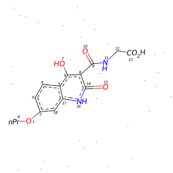 CCCOc1ccc2c(O)c(C(=O)NCC(=O)O)c(=O)[nH]c2c1